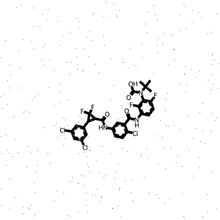 CC(C)(C)N(C(=O)O)c1c(F)ccc(NC(=O)c2cc(NC(=O)C3C(c4cc(Cl)cc(Cl)c4)C3(F)F)ccc2Cl)c1F